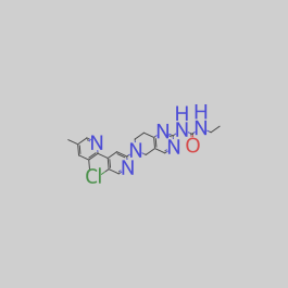 CCNC(=O)Nc1ncc2c(n1)CCN(c1cc(-c3ncc(C)cc3C)c(Cl)cn1)C2